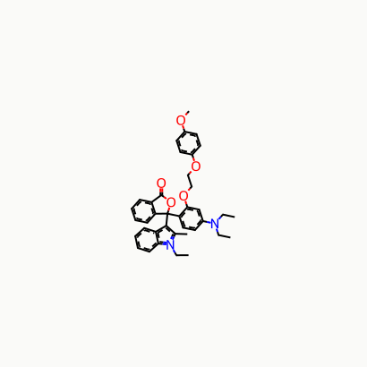 CCN(CC)c1ccc(C2(c3c(C)n(CC)c4ccccc34)OC(=O)c3ccccc32)c(OCCOc2ccc(OC)cc2)c1